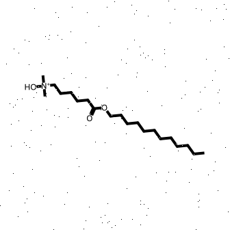 CCCCCCCCCCCCOC(=O)CCCCC[N+](C)(C)O